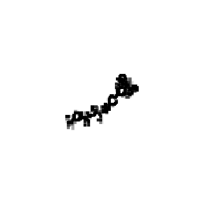 CS(=O)(=O)NC1(NS(C)(=O)=O)C=CC(C2CCC(N3CC(NC(=O)CNC(=O)c4cccc(C(F)(F)F)c4)C3)CC2)=CC1